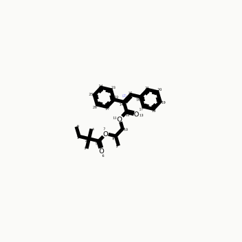 CCC(C)(C)C(=O)OC(C)COC(=O)/C(=C\c1ccccc1)c1ccccc1